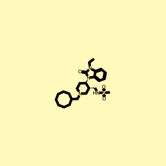 CCn1c(=O)n([C@H]2CCN(CC3CCCCCCC3)C[C@H]2CNS(C)(=O)=O)c2ccccc21